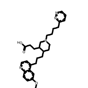 COc1ccc2nccc(CCCC3CCN(CCCCc4cccnn4)CC3CCC(=O)O)c2c1